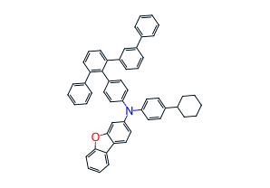 c1ccc(-c2cccc(-c3cccc(-c4ccccc4)c3-c3ccc(N(c4ccc(C5CCCCC5)cc4)c4ccc5c(c4)oc4ccccc45)cc3)c2)cc1